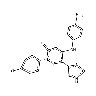 Nc1ccc(Nc2cc(=O)n(-c3ccc(Cl)cc3)nc2-c2nc[nH]n2)cc1